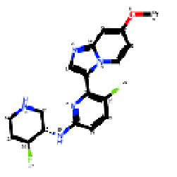 CC(C)Oc1ccn2c(-c3nc(N[C@H]4CNCC[C@@H]4F)ccc3F)cnc2c1